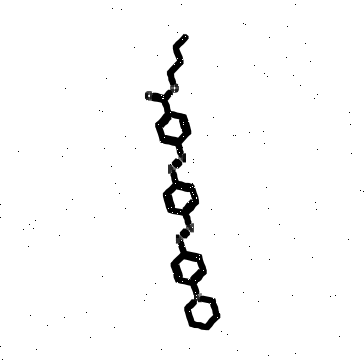 CCCCOC(=O)c1ccc(N=Nc2ccc(N=Nc3ccc(N4CCCCC4)cc3)cc2)cc1